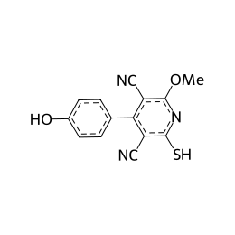 COc1nc(S)c(C#N)c(-c2ccc(O)cc2)c1C#N